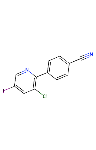 N#Cc1ccc(-c2ncc(I)cc2Cl)cc1